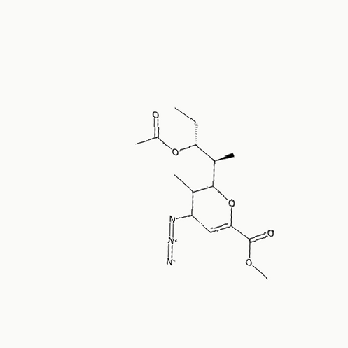 CC[C@@H](OC(C)=O)[C@@H](C)C1OC(C(=O)OC)=CC(N=[N+]=[N-])C1C